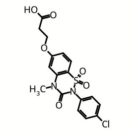 CN1C(=O)N(c2ccc(Cl)cc2)S(=O)(=O)c2ccc(OCCC(=O)O)cc21